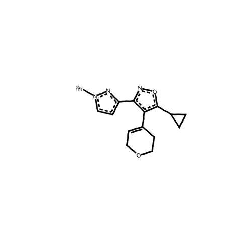 CC(C)n1ccc(-c2noc(C3CC3)c2C2=CCOCC2)n1